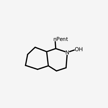 CCCCCC1C2CCCCC2CCN1O